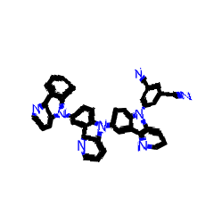 N#Cc1cc(C#N)cc(-n2c3ccc(-n4c5ccc(-n6c7ccccc7c7ncccc76)cc5c5ncccc54)cc3c3ncccc32)c1